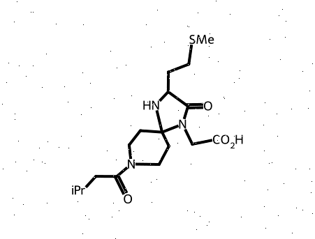 CSCCC1NC2(CCN(C(=O)CC(C)C)CC2)N(CC(=O)O)C1=O